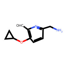 NCc1ccc(OC2CC2)c(C=O)n1